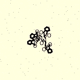 O=C(N(CCN1C(=O)c2ccccc2C1=O)CCN1C(=O)c2ccccc2C1=O)N(CCN1C(=O)c2ccccc2C1=O)CCN1C(=O)c2ccccc2C1=O